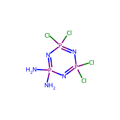 NP1(N)=NP(Cl)(Cl)=NP(Cl)(Cl)=N1